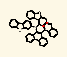 c1ccc2c(-c3c(N(c4ccc5c(c4)oc4ccccc45)c4cccc5oc6ccccc6c45)c4ccccc4c4ccccc34)cccc2c1